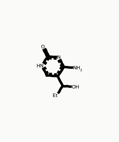 CCC(O)c1c[nH]c(=O)nc1N